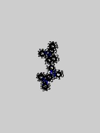 c1ccc(N(c2ccc(-c3ccc(N(c4ccccc4)c4ccc5ccccc5c4)c4ccccc34)cc2)c2ccc3c(c2)c2ccccc2n3-c2ccccc2)cc1